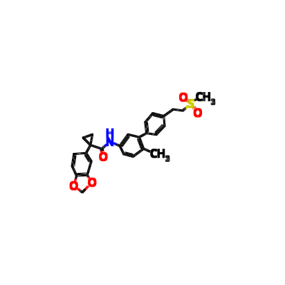 Cc1ccc(NC(=O)C2(c3ccc4c(c3)OCO4)CC2)cc1-c1ccc(CCS(C)(=O)=O)cc1